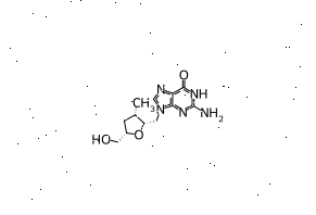 C[C@H]1C[C@@H](CO)O[C@H]1Cn1cnc2c(=O)[nH]c(N)nc21